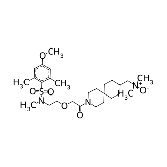 COc1cc(C)c(S(=O)(=O)N(C)CCOCC(=O)N2CCC3(CCC(C[N+](C)(C)[O-])CC3)CC2)c(C)c1